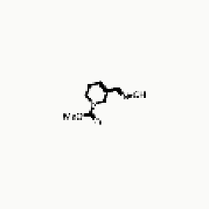 COC(=O)N1CCC=C(/C=N/O)C1